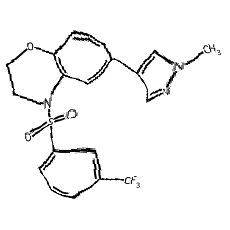 Cn1cc(-c2ccc3c(c2)N(S(=O)(=O)c2cccc(C(F)(F)F)c2)CCO3)cn1